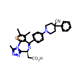 Cc1sc2c(c1C)C(c1ccc(N3CCC(C#N)(c4ccccc4)CC3)cc1)=N[C@@H](CC(=O)O)c1nnc(C)n1-2